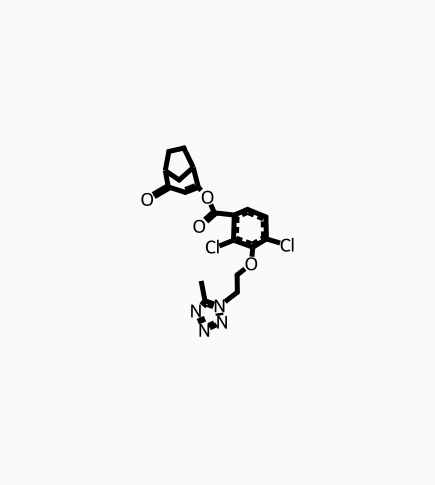 Cc1nnnn1CCOc1c(Cl)ccc(C(=O)OC2=CC(=O)C3CCC2C3)c1Cl